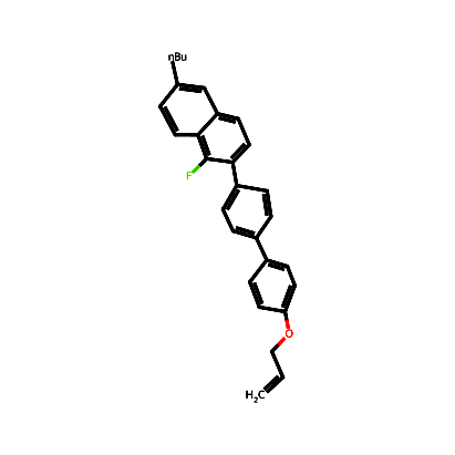 C=CCOc1ccc(-c2ccc(-c3ccc4cc(CCCC)ccc4c3F)cc2)cc1